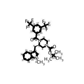 Cn1cc(C[C@@H]2CN(C(=O)OC(C)(C)C)CCN2C(=O)c2cc(C(F)(F)F)cc(C(F)(F)F)c2)c2ccccc21